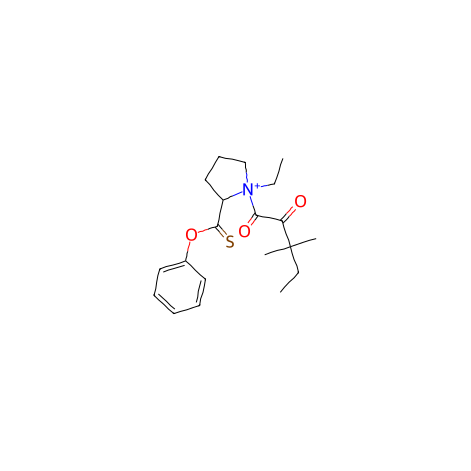 CCC(C)(C)C(=O)C(=O)[N+]1(CC)CCCC1C(=S)Oc1ccccc1